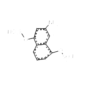 Nc1cc(OS(=O)(=O)O)c2cccc(OS(=O)(=O)O)c2c1